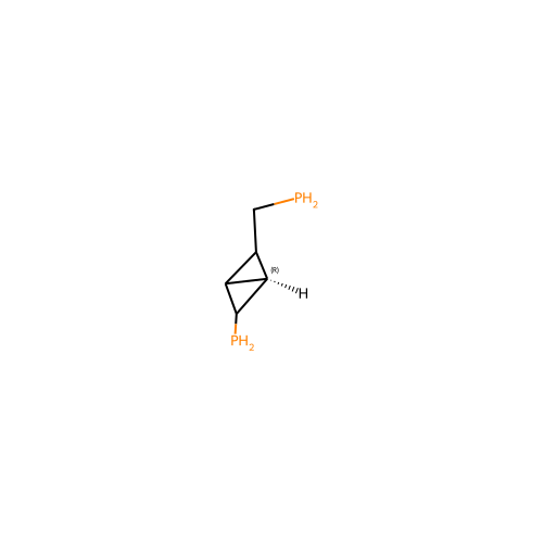 PCC1C2C(P)[C@H]12